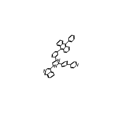 c1ccc(-c2c3ccccc3c(-c3cccc(-c4cc(-c5cncc6ccccc56)nc(-c5ccc(-c6ccncc6)cc5)n4)c3)c3ccccc23)cc1